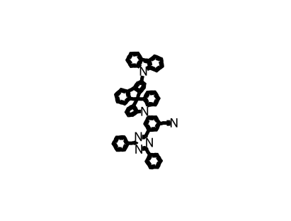 N#Cc1cc(-c2nc(-c3ccccc3)nc(-c3ccccc3)n2)cc(N2c3ccccc3C3(c4ccccc4-c4cc(-n5c6ccccc6c6ccccc65)ccc43)c3ccccc32)c1